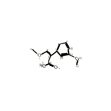 COCC(C(=O)O)c1cccc(OC)c1